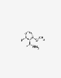 CC(N)c1c(F)cccc1OC(F)(F)F